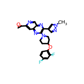 Cn1cc(-c2nc3cnc(C4CO4)cc3nc2N2CCC(Oc3ccc(F)cc3F)CC2)cn1